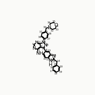 Nc1ncnc2c1c(-c1ccc3[nH]c(Cc4ccccc4)nc3c1)nn2-c1ccc(CN2CCOCC2)cc1